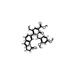 CCc1cc(C(=O)OC)c(=O)n(Cc2ccc(OC)cc2OC)c1-c1ccc2cc3n(c2c1)C(=O)CC3